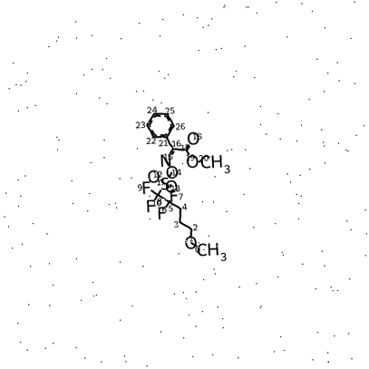 COCCCC(F)(F)C(F)(F)S(=O)(=O)O/N=C(\C(=O)OC)c1ccccc1